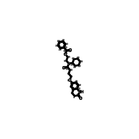 O=C1CCc2cc(OCCCC(=O)N(CCOC(=O)c3ccccc3)C3CCCCC3)ccc2N1